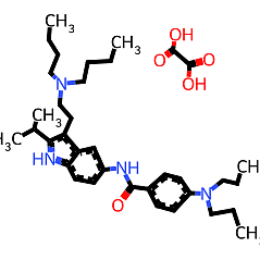 CCCCN(CCCC)CCc1c(C(C)C)[nH]c2ccc(NC(=O)c3ccc(N(CCC)CCC)cc3)cc12.O=C(O)C(=O)O